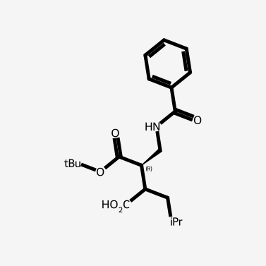 CC(C)CC(C(=O)O)[C@H](CNC(=O)c1ccccc1)C(=O)OC(C)(C)C